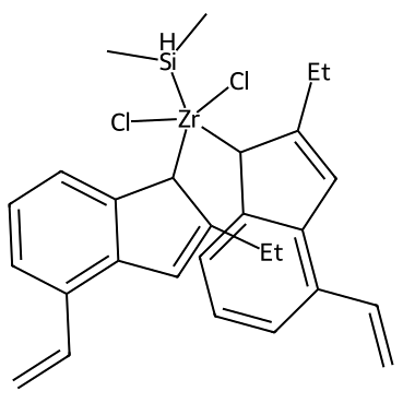 C=Cc1cccc2c1C=C(CC)[CH]2[Zr]([Cl])([Cl])([CH]1C(CC)=Cc2c(C=C)cccc21)[SiH](C)C